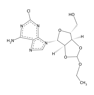 CCOC1O[C@@H]2[C@H](O1)[C@@H](CO)O[C@H]2n1cnc2c(N)nc(Cl)nc21